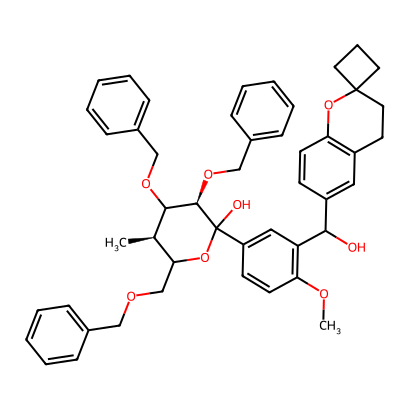 COc1ccc(C2(O)OC(COCc3ccccc3)[C@@H](C)C(OCc3ccccc3)[C@H]2OCc2ccccc2)cc1C(O)c1ccc2c(c1)CCC1(CCC1)O2